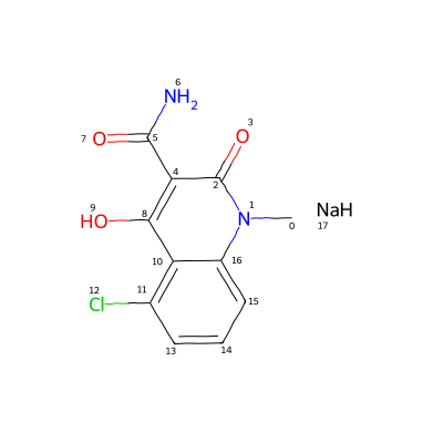 Cn1c(=O)c(C(N)=O)c(O)c2c(Cl)cccc21.[NaH]